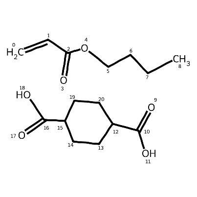 C=CC(=O)OCCCC.O=C(O)C1CCC(C(=O)O)CC1